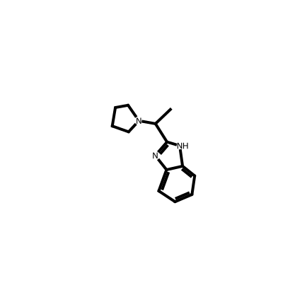 CC(c1nc2ccccc2[nH]1)N1CCCC1